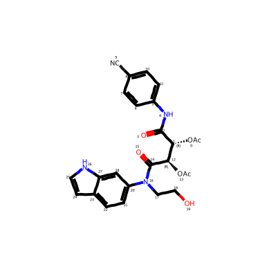 CC(=O)O[C@@H](C(=O)Nc1ccc(C#N)cc1)[C@@H](OC(C)=O)C(=O)N(CCO)c1ccc2cc[nH]c2c1